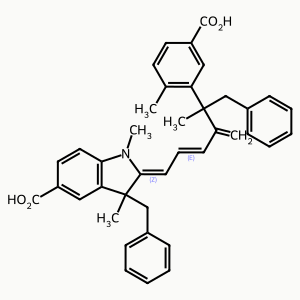 C=C(/C=C/C=C1\N(C)c2ccc(C(=O)O)cc2C1(C)Cc1ccccc1)C(C)(Cc1ccccc1)c1cc(C(=O)O)ccc1C